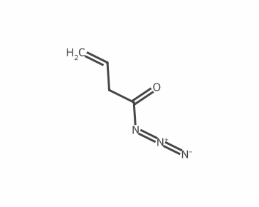 C=CCC(=O)N=[N+]=[N-]